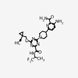 C#CC1(COc2nc(C(=O)N[C@@H](C)C(F)(F)F)nc(N3CCC(c4ccc(N)c(C(N)=O)n4)CC3)n2)CC1